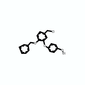 CCOc1ccc(Oc2cc(CCl)ccc2OCc2ccccc2)cc1